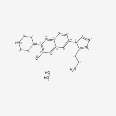 Cl.Cl.NCCc1nncn1-c1ccc2nc(N3CCNCC3)c(Cl)cc2c1